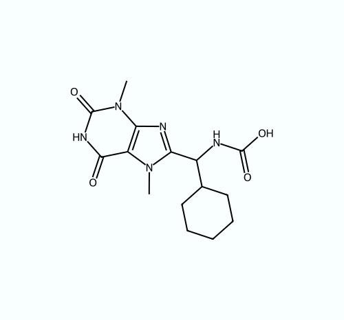 Cn1c(C(NC(=O)O)C2CCCCC2)nc2c1c(=O)[nH]c(=O)n2C